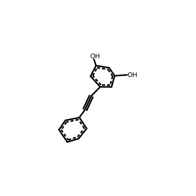 Oc1cc(O)cc(C#Cc2ccccc2)c1